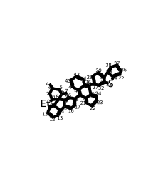 CCC1CC(C)CC(C)C12c1ccccc1-c1ccc(-c3c4ccccc4c(-c4ccc5c(c4)sc4ccccc45)c4ccccc34)cc12